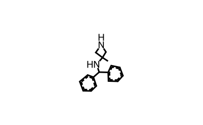 CC1(NC(c2ccccc2)c2ccccc2)CNC1